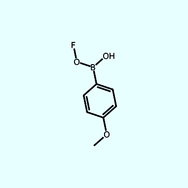 COc1ccc(B(O)OF)cc1